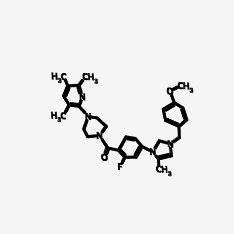 COc1ccc(CN2C=C(C)N(c3ccc(C(=O)N4CCN(c5nc(C)c(C)cc5C)CC4)c(F)c3)C2)cc1